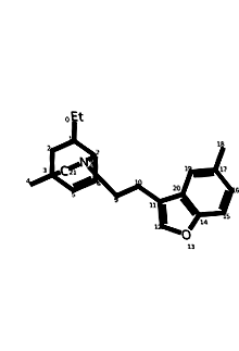 CCC1CC2(C)C=CC1N(CCc1coc3ccc(C)cc13)C2